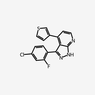 Fc1cc(Cl)ccc1-c1n[nH]c2nccc(-c3ccsc3)c12